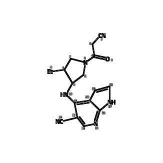 CCC1CN(C(=O)CC#N)CC1Nc1c(C#N)cnc2[nH]ccc12